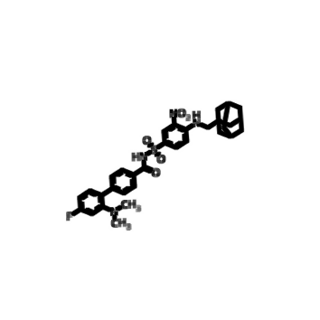 CN(C)c1cc(F)ccc1-c1ccc(C(=O)NS(=O)(=O)c2ccc(NCC34CC5CC(CC(C5)C3)C4)c([N+](=O)[O-])c2)cc1